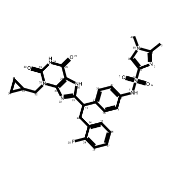 Cc1nc(S(=O)(=O)Nc2ccc(C(Cc3ccccc3F)c3nc4c([nH]3)c(=O)[nH]c(=O)n4CC3CC3)cc2)cn1C